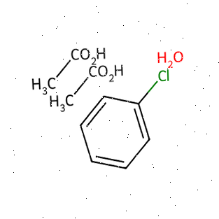 CC(=O)O.CC(=O)O.Clc1ccccc1.O